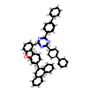 C1=C(c2ccccc2)CCC(c2nc(-c3ccc(-c4ccccc4)cc3)nc(-c3cccc4oc5cc(-c6cc7ccccc7c7ccccc67)ccc5c34)n2)=C1